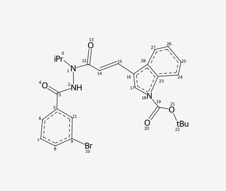 CC(C)N(NC(=O)c1cccc(Br)c1)C(=O)C=Cc1cn(C(=O)OC(C)(C)C)c2ccccc12